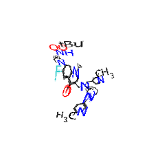 Cc1ccc(N2CCC[C@H](N(Cc3ccnc(C)c3)Cc3cn(C4CC4)c4cc(N5CC[C@H](CNC(=O)OC(C)(C)C)C5)c(F)cc4c3=O)C2)cn1